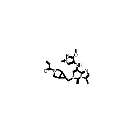 C=CC(=O)N1CC2C(CN3C=C(Nc4cn(C)nc4OC)c4ncc(C)n4C3=C)C2C1